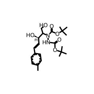 Cc1ccc(C=C[C@@H](O)C(CO)N(NC(=O)OC(C)(C)C)C(=O)OC(C)(C)C)cc1